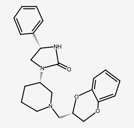 O=C1N[C@@H](c2ccccc2)CN1[C@H]1CCCN(C[C@H]2COc3ccccc3O2)C1